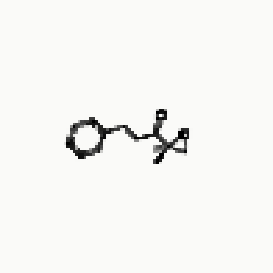 C[C@]1(C(=O)CCc2ccccc2)CO1